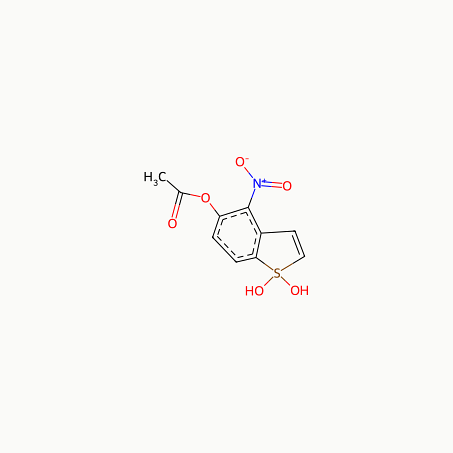 CC(=O)Oc1ccc2c(c1[N+](=O)[O-])C=CS2(O)O